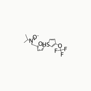 CC(C)[N+]([O-])=Cc1ccc([SH]2C=CC(OC(F)(F)F)=C2)o1